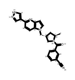 C[C@@H]1C[C@@H](Cn2ccc3nc(-c4cn[nH]c4)ccc32)CN1C(=O)c1cccc(C#N)c1